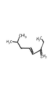 C=C(C=CCC(C)C)CC